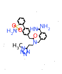 Cn1nnnc1CCN(Cc1cccc(C(=N)N)c1)C(=O)Cc1ccc(-c2ccccc2S(N)(=O)=O)cc1